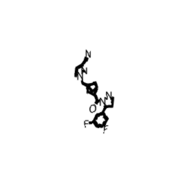 N#Cc1ccn(CC23CC(C2)C(C(=O)N2N=CCC2c2cc(F)cc(F)c2)C3)n1